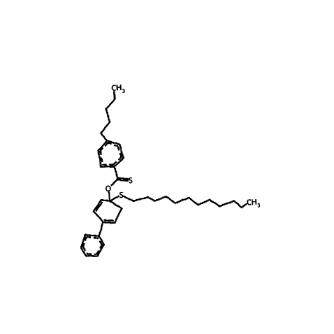 CCCCCCCCCCCCSC1(OC(=S)c2ccc(CCCCC)cc2)C=CC(c2ccccc2)=CC1